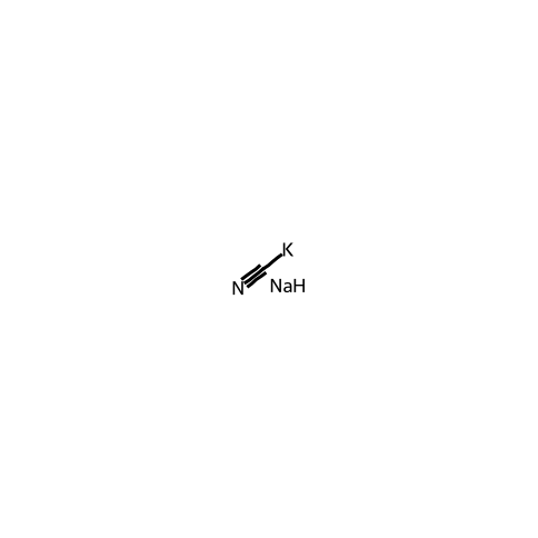 N#[C][K].[NaH]